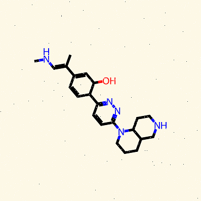 CN/C=C(\C)C1=CC(O)C(c2ccc(N3CCCC4CNCCC43)nn2)C=C1